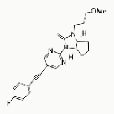 C=C1N(CCCOC)[C@H]2CCC[C@H]2N1c1ncc(C#Cc2ccc(F)cc2)cn1